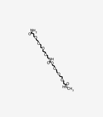 CNC(=O)CCOCCOCCOCCOC(=O)NCCOCCOCCOCCOCCC(N)=O